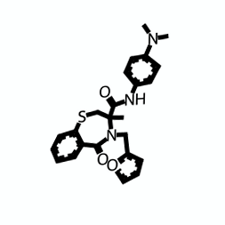 CN(C)c1ccc(NC(=O)C2(C)CSc3ccccc3C(=O)N2Cc2ccco2)cc1